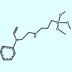 C=CN(CCNCCC[Si](OC)(OC)OC)c1ccccc1